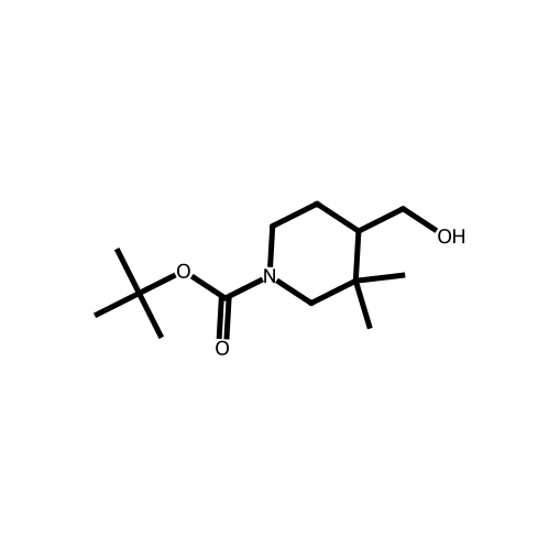 CC(C)(C)OC(=O)N1CCC(CO)C(C)(C)C1